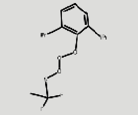 CC(C)c1cccc(C(C)C)c1OOOSC(C)(F)F